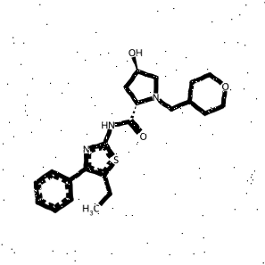 CCc1sc(NC(=O)[C@@H]2C[C@@H](O)CN2CC2CCOCC2)nc1-c1ccccc1